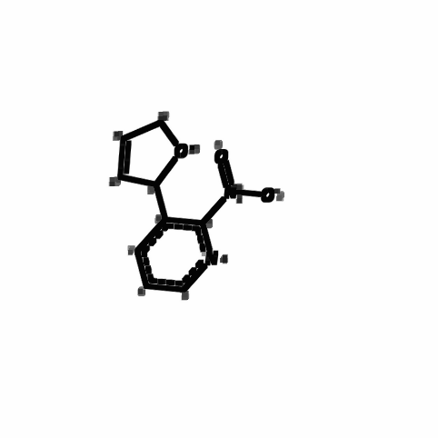 O=[N+]([O-])c1ncccc1C1C=CCO1